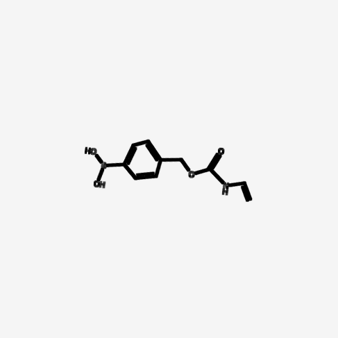 C=CNC(=O)OCc1ccc(B(O)O)cc1